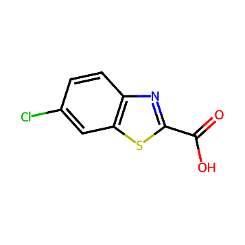 O=C(O)c1nc2ccc(Cl)cc2s1